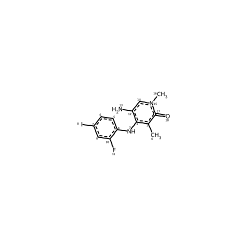 Cc1c(Nc2ccc(I)cc2F)c(N)cn(C)c1=O